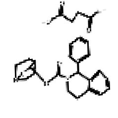 O=C(O)CCC(=O)O.O=C(OC1CN2CCC1CC2)N1CCc2ccccc2C1c1ccccc1